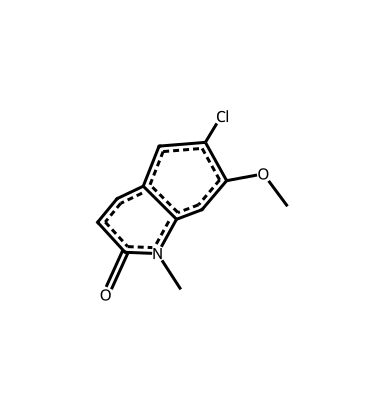 COc1cc2c(ccc(=O)n2C)cc1Cl